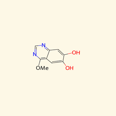 COc1ncnc2cc(O)c(O)cc12